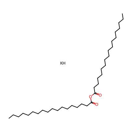 CCCCCCCCCCCCCCCCCC(=O)OC(=O)CCCCCCCCCCCCCCCCC.[KH]